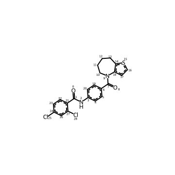 O=C(Nc1ccc(C(=O)N2CCCCc3sccc32)cc1)c1ccc(Cl)cc1Cl